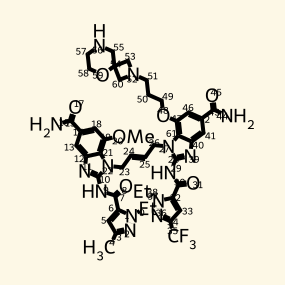 CCn1nc(C)cc1C(=O)Nc1nc2cc(C(N)=O)cc(OC)c2n1C/C=C/Cn1c(NC(=O)c2cc(C(F)(F)F)nn2CC)nc2cc(C(N)=O)cc(OCCCN3CC4(CNCCO4)C3)c21